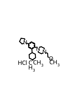 COCCN1CCN(c2ccc(N3CCCC3)cc2C2CCC(C)(C)CC2)CC1.Cl